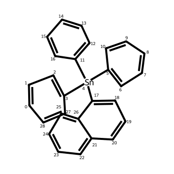 c1cc[c]([Sn]([c]2ccccc2)([c]2ccccc2)[c]2cccc3ccccc23)cc1